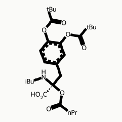 CCCC(=O)O[C@](Cc1ccc(OC(=O)C(C)(C)C)c(OC(=O)C(C)(C)C)c1)(NC(C)CC)C(=O)O